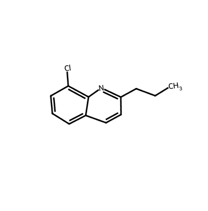 CCCc1ccc2cccc(Cl)c2n1